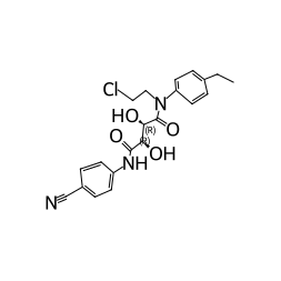 CCc1ccc(N(CCCl)C(=O)[C@H](O)[C@@H](O)C(=O)Nc2ccc(C#N)cc2)cc1